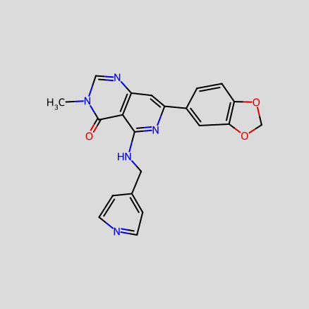 Cn1cnc2cc(-c3ccc4c(c3)OCO4)nc(NCc3ccncc3)c2c1=O